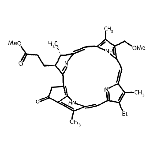 CCC1=C(C)c2cc3[nH]c(cc4nc(c5c6[nH]c(cc1n2)c(C)c6C(=O)C5)[C@@H](CCC(=O)OC)[C@@H]4C)c(C)c3COC